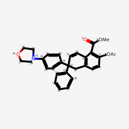 COC(=O)c1c(OC(C)=O)ccc2c1C=CC(c1ccccc1)(c1ccc(N3CCOCC3)cc1)C2